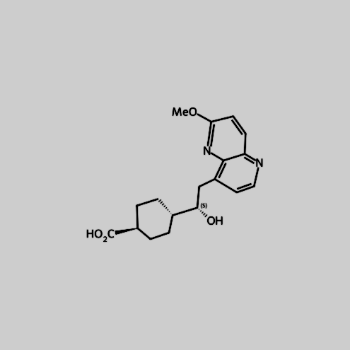 COc1ccc2nccc(C[C@H](O)[C@H]3CC[C@H](C(=O)O)CC3)c2n1